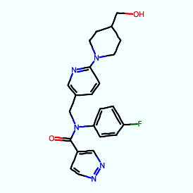 O=C(c1ccnnc1)N(Cc1ccc(N2CCC(CO)CC2)nc1)c1ccc(F)cc1